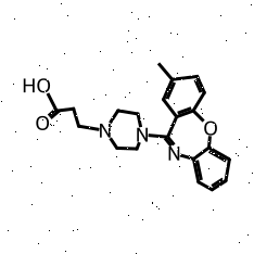 Cc1ccc2c(c1)C(N1CCN(CCC(=O)O)CC1)=Nc1ccccc1O2